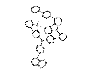 CC1(C)c2ccccc2-c2ccc(N(c3ccc(-c4ccccc4-n4c5ccccc5c5c(-c6ccc(-c7ccccc7)cc6)cccc54)cc3)c3ccc(-c4cccc5ccccc45)cc3)cc21